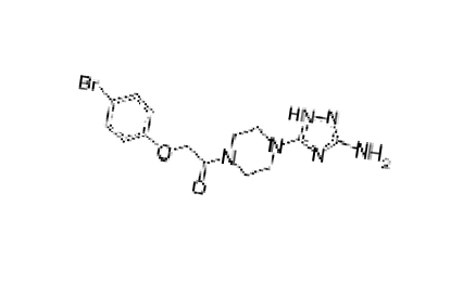 Nc1n[nH]c(N2CCN(C(=O)COc3ccc(Br)cc3)CC2)n1